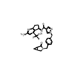 Nc1cc(C(F)(F)F)c2c(n1)CCC2NC(=O)c1cnn(Cc2ccc(CN3CC4CC4C3=O)cc2)c1